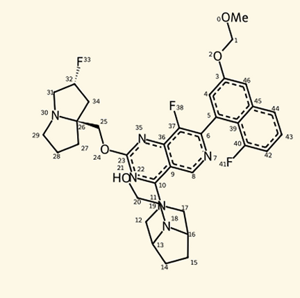 COCOc1cc(-c2ncc3c(N4CC5CCC(C4)N5CCO)nc(OC[C@@]45CCCN4C[C@H](F)C5)nc3c2F)c2c(F)cccc2c1